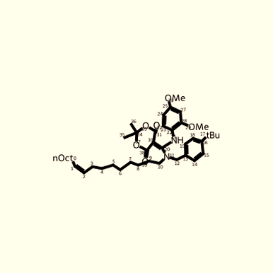 CCCCCCCC/C=C\CCCCCCCCN(Cc1ccc(C(C)(C)C)cc1)C(Nc1ccc(OC)cc1OC)=C1C(=O)OC(C)(C)OC1=O